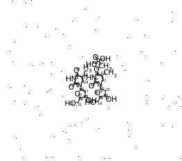 CP(=O)(O)O.Cc1cn([C@H]2C[C@H](O)[C@@H](CO)O2)c(=O)[nH]c1=O.Cc1cn([C@H]2C[C@H](O)[C@@H](CO)O2)c(=O)[nH]c1=O